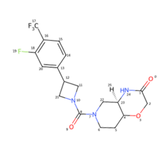 O=C1COC2CCN(C(=O)N3CC(c4ccc(C(F)(F)F)c(F)c4)C3)C[C@H]2N1